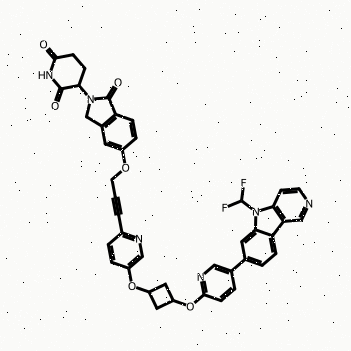 O=C1CCC(N2Cc3cc(OCC#Cc4ccc(OC5CC(Oc6ccc(-c7ccc8c9cnccc9n(C(F)F)c8c7)cn6)C5)cn4)ccc3C2=O)C(=O)N1